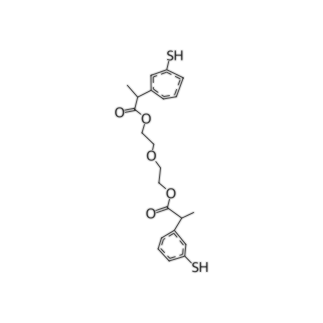 CC(C(=O)OCCOCCOC(=O)C(C)c1cccc(S)c1)c1cccc(S)c1